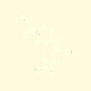 C[C@H](COS(C)(=O)=O)OC1CCN(C(=O)OC(C)(C)C)CC1